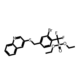 CCOP(=O)(OCC)C(F)(F)c1ccc(CSc2cnc3ccccc3c2)cc1Br